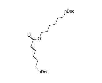 CCCCCCCCCCCCCC=CC(=O)OCCCCCCCCCCCCCCCC